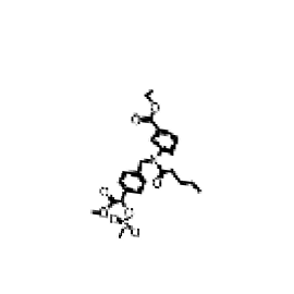 CCCCC(=O)N(Cc1ccc(C(OS(C)(=O)=O)C(=O)OC)cc1)c1cccc(C(=O)OCC)c1